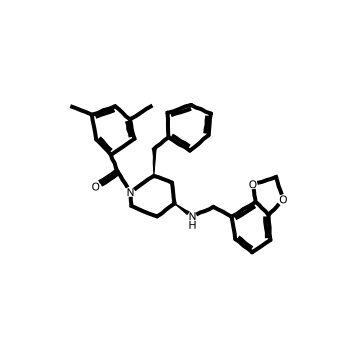 Cc1cc(C)cc(C(=O)N2CC[C@H](NCc3cccc4c3OCO4)C[C@@H]2Cc2ccccc2)c1